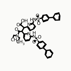 CCN(CC)C(=O)C(c1cccc(NS(=O)(=O)c2ccc(-c3ccccc3)cc2)n1)C(C(=O)O)c1cccc(NS(=O)(=O)c2ccc(-c3ccccc3)cc2)n1